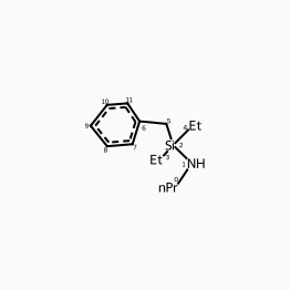 CCCN[Si](CC)(CC)Cc1ccccc1